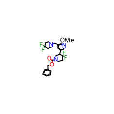 COc1ncc(C2CN(C(=O)OCc3ccccc3)CCC2(F)F)cc1CN1CCC(F)(F)CC1